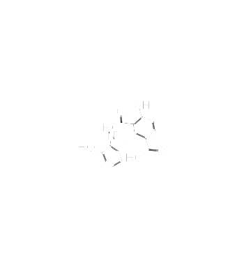 Cc1ccc(C(=O)O)cc1C(=O)O.Nc1ccccc1O